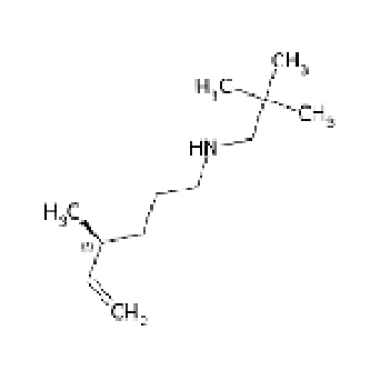 C=C[C@@H](C)CCCNCC(C)(C)C